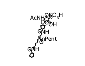 CCCCCC(=O)N(CCCCCNC(=O)c1ccccc1)CCC(=O)Nc1ccc(OC2OC(CO)C(OS(=O)(=O)O)C(O)C2NC(C)=O)cc1